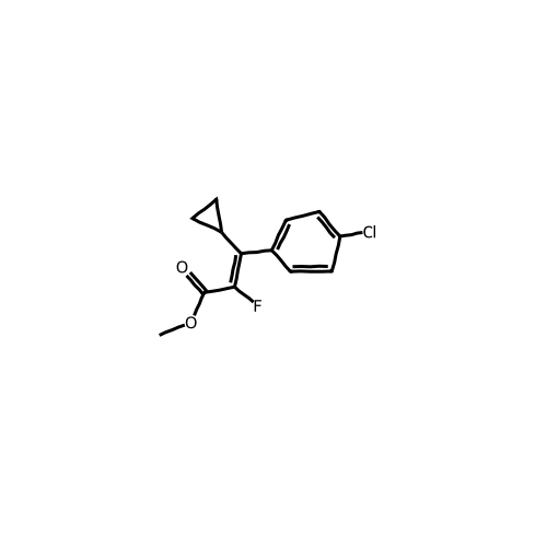 COC(=O)C(F)=C(c1ccc(Cl)cc1)C1CC1